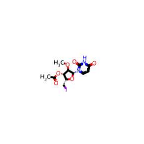 COC1[C@@H](OC(C)=O)[C@@H](CI)O[C@H]1n1ccc(=O)[nH]c1=O